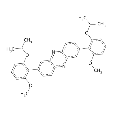 COc1cccc(OC(C)C)c1-c1ccc2nc3cc(-c4c(OC)cccc4OC(C)C)ccc3nc2c1